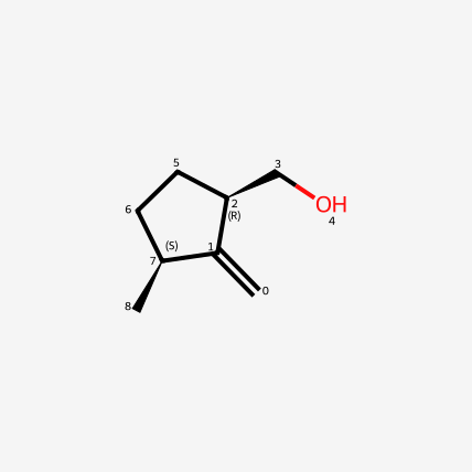 C=C1[C@H](CO)CC[C@@H]1C